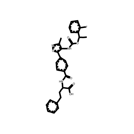 Cc1noc(-c2ccc(C(=O)NC(CCc3ccccc3)C(=O)O)cc2)c1NC(=O)OC(C)c1ccccc1F